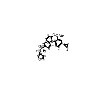 COc1cc([C@@H]2C[C@H]2C)c(F)cc1-n1c(=O)ccc2cc(S(=O)(=O)Nc3ccon3)ccc21